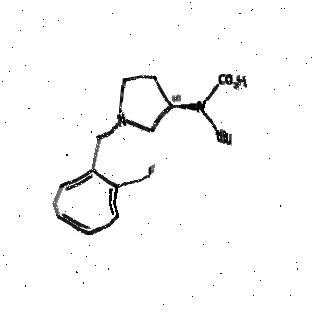 CC(C)(C)N(C(=O)O)[C@@H]1CCN(Cc2ccccc2F)C1